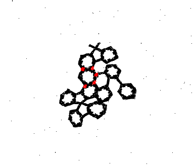 CC1(C)c2ccccc2-c2c(N(c3ccc4c(c3)-c3ccccc3C43c4ccccc4-c4ccccc43)c3cccc(-c4ccccc4)c3-c3ccccc3-c3ccccc3)cccc21